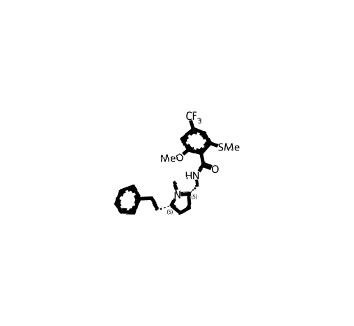 COc1cc(C(F)(F)F)cc(SC)c1C(=O)NC[C@@H]1CC[C@H](CCc2ccccc2)N1C